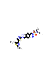 Cc1nc(-c2cnc(NCC3CCC(CNS(=O)(=O)N(C)C)CC3)s2)c(C)s1